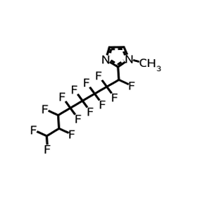 Cn1ccnc1C(F)C(F)(F)C(F)(F)C(F)(F)C(F)(F)C(F)C(F)C(F)F